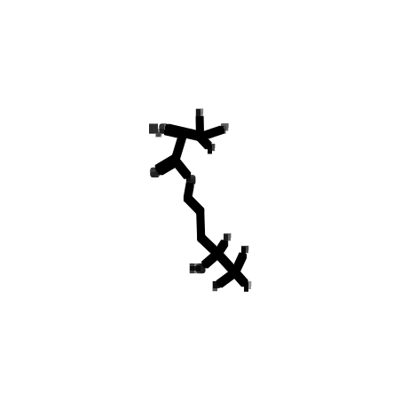 C=C(C(=O)OCCCC(O)(F)C(F)(F)F)C(F)(F)F